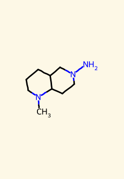 CN1CCCC2CN(N)CCC21